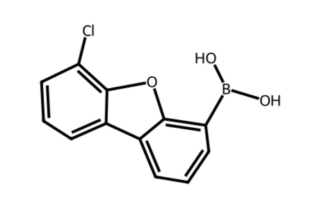 OB(O)c1cccc2c1oc1c(Cl)cccc12